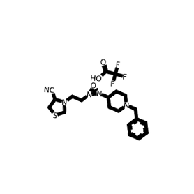 N#CC1CSCN1CCn1on1C1CCN(Cc2ccccc2)CC1.O=C(O)C(F)(F)F